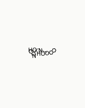 O[C@@H](COc1ccc2ccccc2c1)CN1CCC(O)(c2cncc3ccccc23)CC1